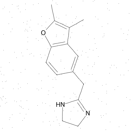 Cc1oc2ccc(CC3=NCCN3)cc2c1C